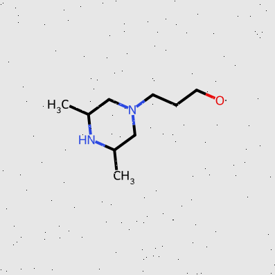 CC1CN(CCC[O])CC(C)N1